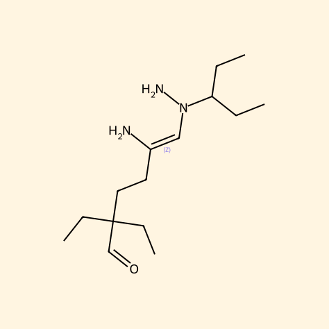 CCC(CC)N(N)/C=C(\N)CCC(C=O)(CC)CC